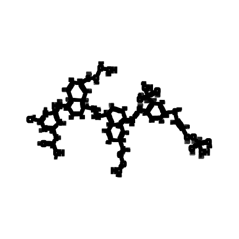 O=C(O)Sc1nc(Cl)nc(Nc2ccc(N=Nc3ccc(N=Nc4ccc(SC#COOS(=O)(=O)O)cc4S(=O)(=O)O)c4cc(SOOO)ccc34)c3cc(SOOO)ccc23)n1